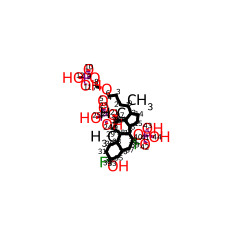 CC(CCC(=O)OCOP(=O)(O)O)C1CCC2C3C(CC(OP(=O)(O)O)C12C)C1(C)CCC(O)(F)CC1CC3(F)OP(=O)(O)O